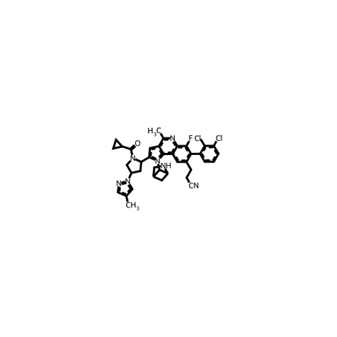 Cc1cnn(C2CC(c3cc4c(C)nc5c(F)c(-c6cccc(Cl)c6Cl)c(CCC#N)cc5c4n3C3C4CNC3C4)N(C(=O)C3CC3)C2)c1